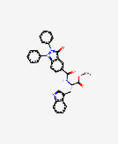 COC(=O)[C@H](Cc1c[nH]c2ccccc12)NC(=O)c1ccc2c(c1)c(=O)n(-c1ccccc1)n2-c1ccccc1